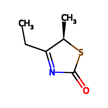 CCC1=NC(=O)S[C@@H]1C